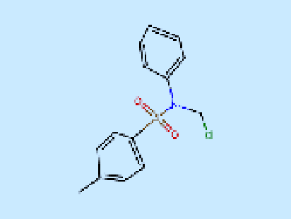 Cc1ccc(S(=O)(=O)N(CCl)c2ccccc2)cc1